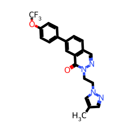 Cc1cnn(CCn2ncc3ccc(-c4ccc(OC(F)(F)F)cc4)cc3c2=O)c1